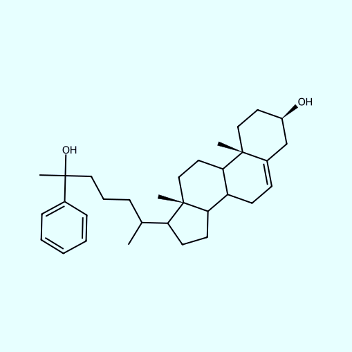 CC(CCCC(C)(O)c1ccccc1)C1CCC2C3CC=C4C[C@H](O)CC[C@@]4(C)C3CC[C@@]12C